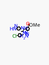 C=C(C(Nc1ccc2[nH]cnc2c1)c1cccc(C(=O)OC)c1)N(Cc1ccc(Cl)cc1)/N=N\N